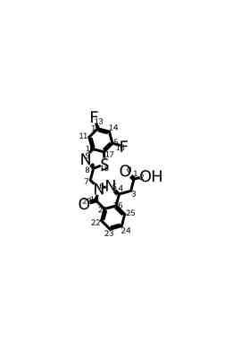 O=C(O)Cc1nn(Cc2nc3cc(F)cc(F)c3s2)c(=O)c2ccccc12